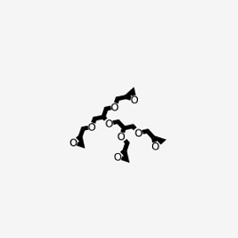 C(OCC1CO1)C(COCC1CO1)OCC(COCC1CO1)OCC1CO1